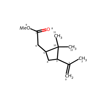 C=C(C)C1CC(CC(=O)OC)C1(C)C